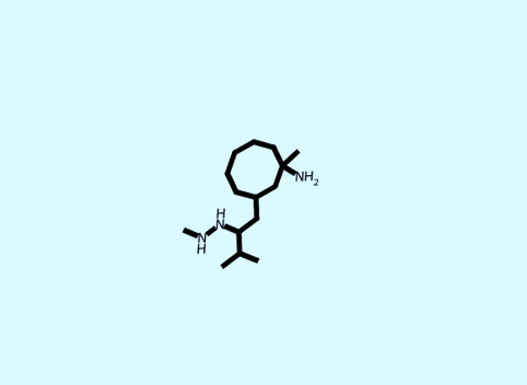 CNNC(CC1CCCCCC(C)(N)C1)C(C)C